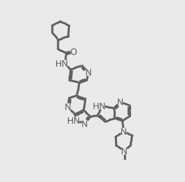 CN1CCN(c2ccnc3[nH]c(-c4n[nH]c5ncc(-c6cncc(NC(=O)CC7CCCCC7)c6)cc45)cc23)CC1